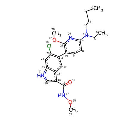 CCCCN(CC)c1ccc(-c2cc3c(C(=O)NOC)c[nH]c3cc2Cl)c(OC)n1